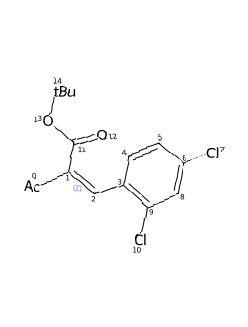 CC(=O)/C(=C/c1ccc(Cl)cc1Cl)C(=O)OC(C)(C)C